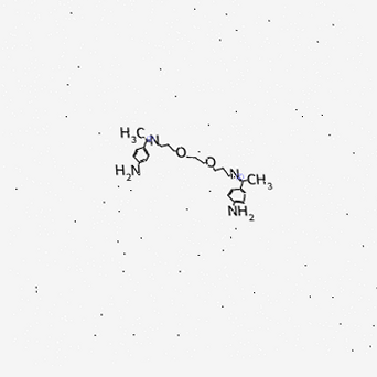 C/C(=N/CCCOCCCOCCC/N=C(/C)c1ccc(N)cc1)c1ccc(N)cc1